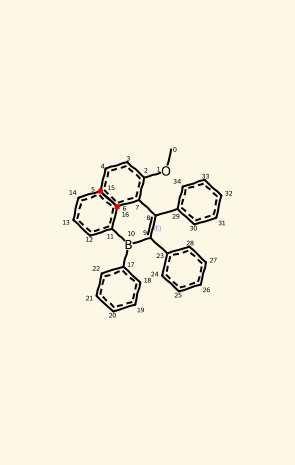 COc1ccccc1/C(=C(\B(c1ccccc1)c1ccccc1)c1ccccc1)c1ccccc1